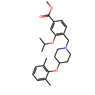 COC(=O)c1ccc(CN2CCC(Oc3c(C)cccc3C)CC2)c(OC(C)C)c1